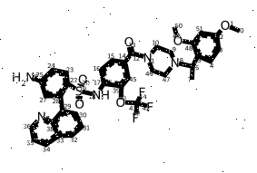 COc1ccc(C(C)N2CCN(C(=O)c3ccc(NS(=O)(=O)c4ccc(N)cc4-c4cccc5cccnc45)c(OC(F)(F)F)c3)CC2)c(OC)c1